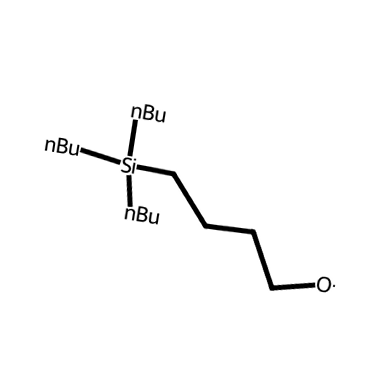 CCCC[Si](CCCC)(CCCC)CCCC[O]